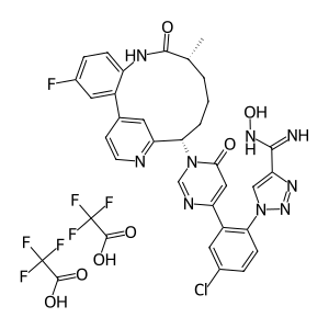 C[C@@H]1CCC[C@H](n2cnc(-c3cc(Cl)ccc3-n3cc(C(=N)NO)nn3)cc2=O)c2cc(ccn2)-c2cc(F)ccc2NC1=O.O=C(O)C(F)(F)F.O=C(O)C(F)(F)F